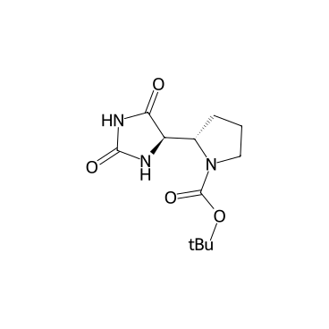 CC(C)(C)OC(=O)N1CCC[C@H]1[C@H]1NC(=O)NC1=O